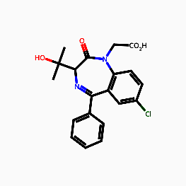 CC(C)(O)C1N=C(c2ccccc2)c2cc(Cl)ccc2N(CC(=O)O)C1=O